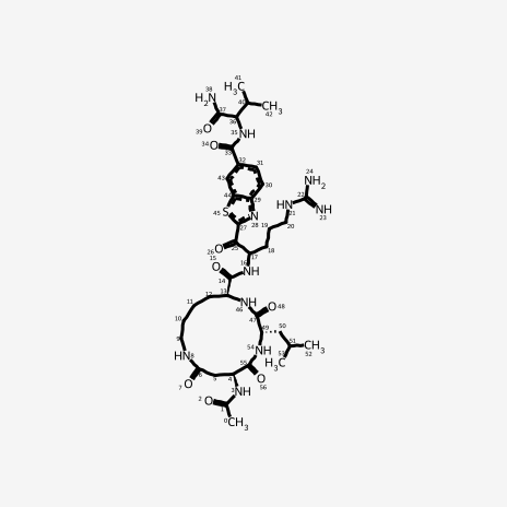 CC(=O)N[C@H]1CC(=O)NCCCC[C@@H](C(=O)NC(CCCNC(=N)N)C(=O)c2nc3ccc(C(=O)NC(C(N)=O)C(C)C)cc3s2)NC(=O)[C@H](CC(C)C)NC1=O